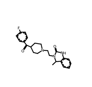 CC1c2ccccc2NC(=O)N1CCN1CCC(C(=O)c2ccc(F)cc2)CC1